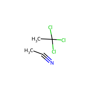 CC#N.CC(Cl)(Cl)Cl